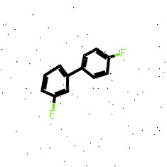 Fc1[c]cc(-c2cccc(F)c2)cc1